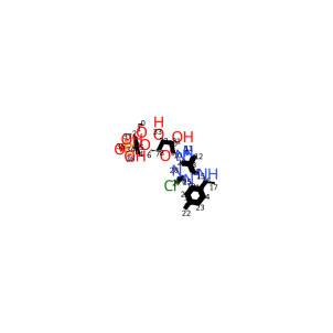 COCC(C)(OC[C@H]1O[C@@H](n2ncc3c(N[C@@H](C)c4ccc(C)cc4)nc(Cl)nc32)[C@H](O)[C@@H]1O)P(=O)(O)O